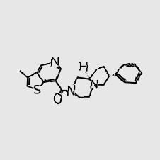 Cc1csc2c(C(=O)N3CCN4C[C@@H](c5ccccc5)CC[C@@H]4C3)cncc12